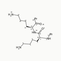 CC(C)N[C@@H](CCCCN)C(=O)N[C@@H](CCCCN)C(=O)C(C)C